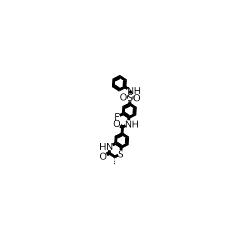 C[C@H]1Sc2ccc(C(=O)Nc3ccc(S(=O)(=O)Nc4ccccc4)cc3F)cc2NC1=O